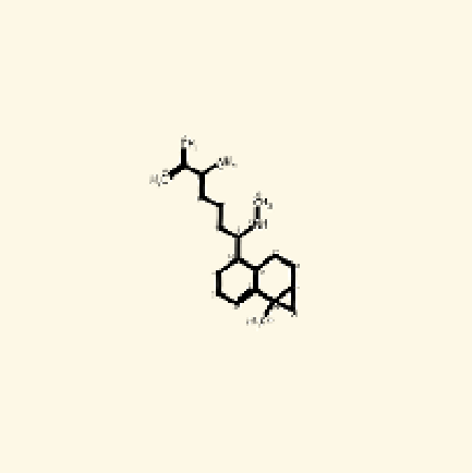 C=C(C)C(N)CCCC(NC)C1CCC=C2C1CCC1CC21C